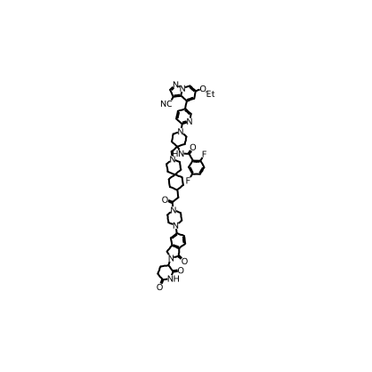 CCOc1cc(-c2ccc(N3CCC(CN4CCC5(CCC(CC(=O)N6CCN(c7ccc8c(c7)CN(C7CCC(=O)NC7=O)C8=O)CC6)CC5)CC4)(NC(=O)c4cc(F)ccc4F)CC3)nc2)c2c(C#N)cnn2c1